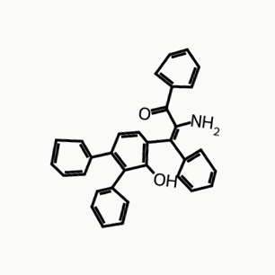 NC(C(=O)c1ccccc1)=C(c1ccccc1)c1ccc(-c2ccccc2)c(-c2ccccc2)c1O